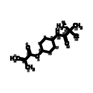 C=C(C)C(=O)OC1CCC(NC(=O)C(C)(C)CC)CC1